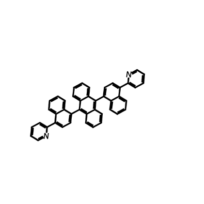 c1ccc(-c2ccc(-c3c4ccccc4c(-c4ccc(-c5ccccn5)c5ccccc45)c4ccccc34)c3ccccc23)nc1